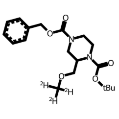 [2H]C([2H])([2H])OCC1CN(C(=O)OCc2ccccc2)CCN1C(=O)OC(C)(C)C